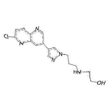 OCCNCCCn1cc(-c2cnc3ccc(Cl)nc3c2)cn1